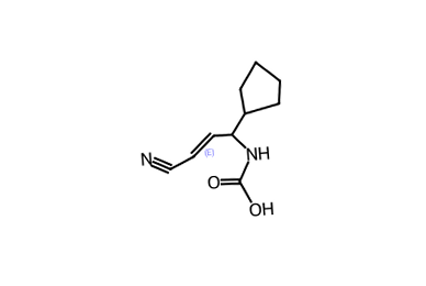 N#C/C=C/C(NC(=O)O)C1CCCC1